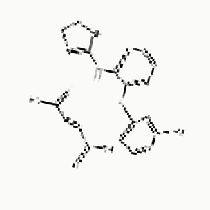 Clc1cccc(Oc2ccccc2NC2=NCCN2)c1.O=C(O)C=CC(=O)O